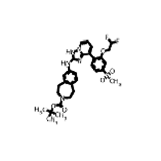 CC(C)(C)OC(=O)N1CCc2ccc(NC3N=C4C(c5ccc(S(C)(=O)=O)cc5OCC(F)F)=CC=CN4N3)cc2CC1